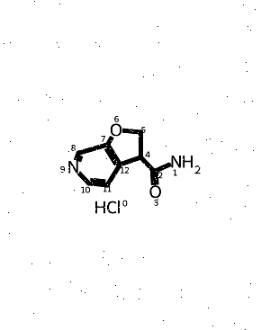 Cl.NC(=O)C1COc2cnccc21